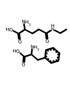 CCNC(=O)CCC(N)C(=O)O.NC(Cc1ccccc1)C(=O)O